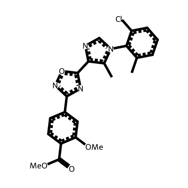 COC(=O)c1ccc(-c2noc(-c3ncn(-c4c(C)cccc4Cl)c3C)n2)cc1OC